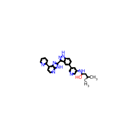 CC(C)CC(O)Nc1cncc(-c2ccc3[nH]nc(-c4nc5c(-c6ccccn6)ccnc5[nH]4)c3c2)c1